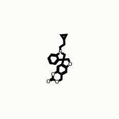 O=C1OCc2cc3c(cc2O1)C1(CO3)CN(CCC2CC2)c2ccccc21